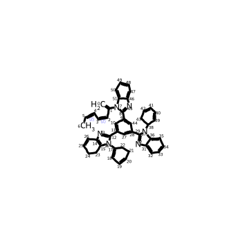 C=C(/C=C\C=C/C)n1c(-c2cc(-c3nc4c(n3C3=CC=CCC3)CCC=C4)cc(-c3nc4ccccc4n3C3C=CC=CC3)c2)nc2ccccc21